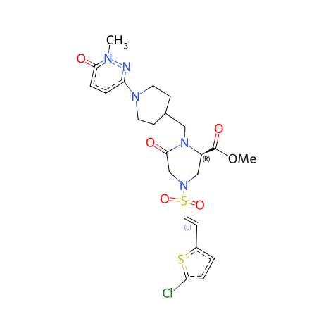 COC(=O)[C@H]1CN(S(=O)(=O)/C=C/c2ccc(Cl)s2)CC(=O)N1CC1CCN(c2ccc(=O)n(C)n2)CC1